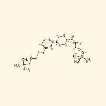 CC(C)(C)COCCCc1cccc(N2CCC(OC3CC(OC(C)(C)C)C3)CC2)c1